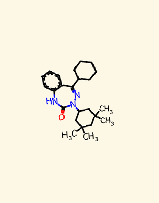 CC1(C)CC(N2N=C(C3CCCCC3)c3ccccc3NC2=O)CC(C)(C)C1